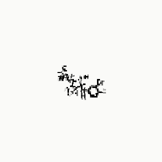 CC(NO)(Nc1ccc(F)c(Br)c1)c1nonc1NCC[SH](C)(N)=O